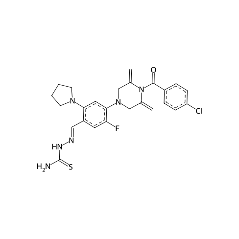 C=C1CN(c2cc(N3CCCC3)c(/C=N/NC(N)=S)cc2F)CC(=C)N1C(=O)c1ccc(Cl)cc1